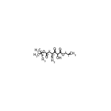 C=CCOC(=O)C(O)C(=O)C(N)CC(=O)OC(C)(C)C